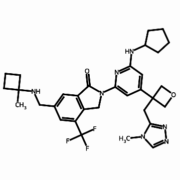 Cn1cnnc1CC1(c2cc(NC3CCCC3)nc(N3Cc4c(cc(CNC5(C)CCC5)cc4C(F)(F)F)C3=O)c2)COC1